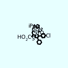 CC(C)CNCc1c(C(=O)O)sc2c(C3CCCCC3)c(-c3ccc(Cl)cc3)n(CC(=O)N(C)C3CCN(C(C)C)C3)c12